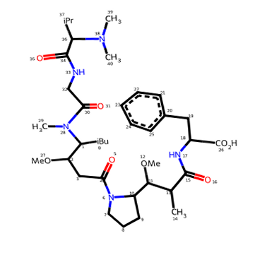 CCC(C)C(C(CC(=O)N1CCCC1C(OC)C(C)C(=O)NC(Cc1ccccc1)C(=O)O)OC)N(C)C(=O)CNC(=O)C(C(C)C)N(C)C